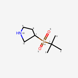 CC(C)(C)S(=O)(=O)C1CCNC1